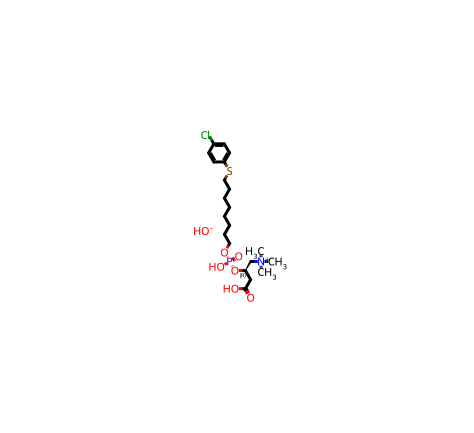 C[N+](C)(C)C[C@@H](CC(=O)O)OP(=O)(O)OCCCCCCCCSc1ccc(Cl)cc1.[OH-]